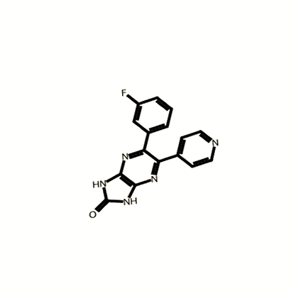 O=c1[nH]c2nc(-c3ccncc3)c(-c3cccc(F)c3)nc2[nH]1